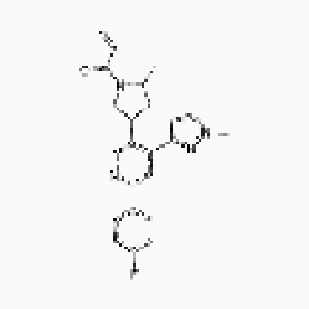 C=CC(=O)N1CC(c2cnc(-c3ccc(F)cc3)cc2-c2ccn(C)n2)CC1C